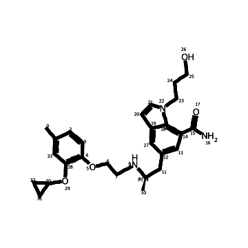 Cc1ccc(OCCN[C@H](C)Cc2cc(C(N)=O)c3c(ccn3CCCO)c2)c(OC2CC2)c1